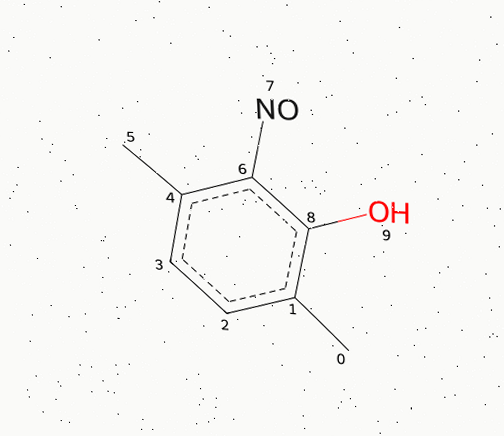 Cc1ccc(C)c(N=O)c1O